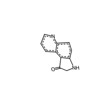 O=C1CNc2ccc3ncccc3c21